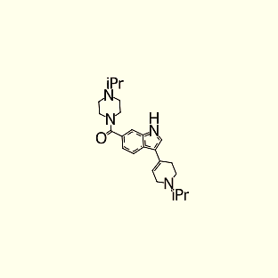 CC(C)N1CC=C(c2c[nH]c3cc(C(=O)N4CCN(C(C)C)CC4)ccc23)CC1